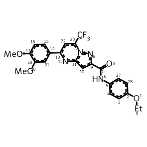 CCOc1ccc(NC(=O)c2cc3nc(-c4ccc(OC)c(OC)c4)cc(C(F)(F)F)n3n2)cc1